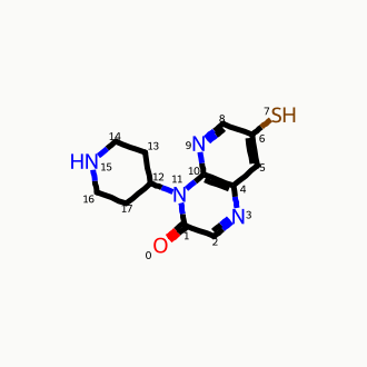 O=c1cnc2cc(S)cnc2n1C1CCNCC1